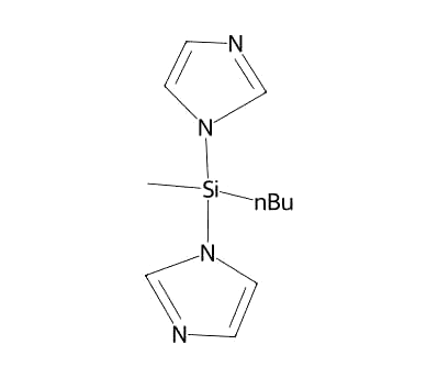 CCCC[Si](C)(n1ccnc1)n1ccnc1